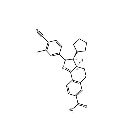 N#Cc1ccc(N2N=C3c4ccc(C(=O)O)cc4OC[C@@H]3[C@@H]2C2CCCC2)cc1Cl